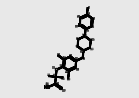 Cc1ccc(N2CCN(Cc3cc(C)c(OC(C)(C)C(=O)O)c(C)c3)CC2)nc1